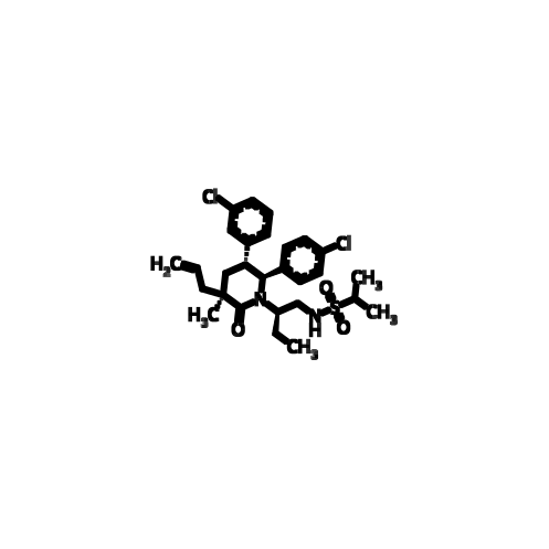 C=CC[C@@]1(C)C[C@H](c2cccc(Cl)c2)[C@@H](c2ccc(Cl)cc2)N([C@H](CC)CNS(=O)(=O)C(C)C)C1=O